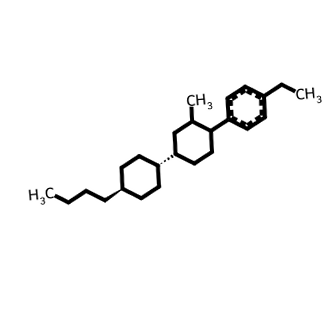 CCCC[C@H]1CC[C@H](C2CCC(c3ccc(CC)cc3)C(C)C2)CC1